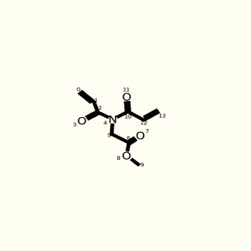 C=CC(=O)N(CC(=O)OC)C(=O)C=C